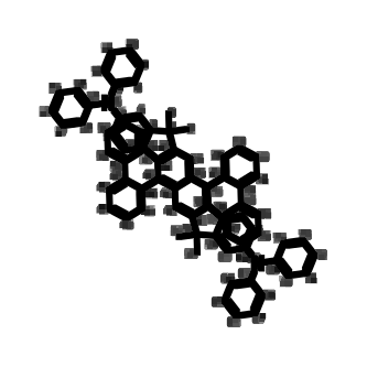 CC1(C)c2cc(N(c3ccccc3)c3ccccc3)ccc2-c2c1cc1c(-c3ccccc3-c3ccccc3)c3c(cc1c2-c1ccccc1-c1ccccc1)C(C)(C)c1cc(N(c2ccccc2)c2ccccc2)ccc1-3